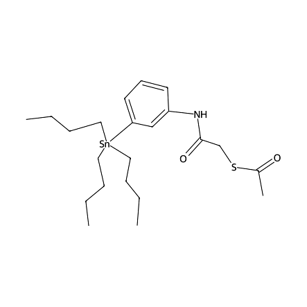 CCC[CH2][Sn]([CH2]CCC)([CH2]CCC)[c]1cccc(NC(=O)CSC(C)=O)c1